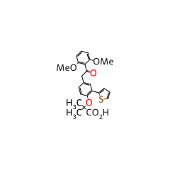 COc1cccc(OC)c1C(=O)Cc1ccc(OC(C)(C)C(=O)O)c(-c2cccs2)c1